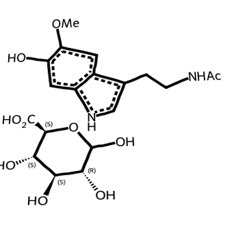 COc1cc2c(CCNC(C)=O)c[nH]c2cc1O.O=C(O)[C@H]1OC(O)[C@H](O)[C@@H](O)[C@@H]1O